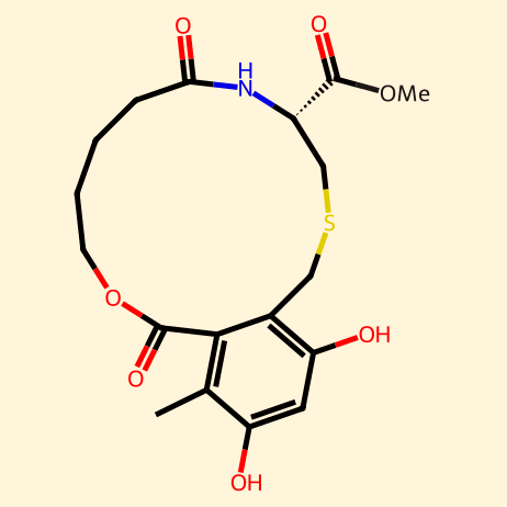 COC(=O)[C@@H]1CSCc2c(O)cc(O)c(C)c2C(=O)OCCCCC(=O)N1